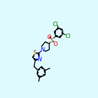 Cc1cc(C)cc(Cc2csc(N3CCC(S(=O)(=O)c4cc(Cl)cc(Cl)c4)CC3)n2)c1